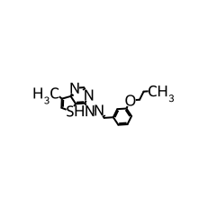 CCCOc1cccc(C=NNc2ncnc3c(C)csc23)c1